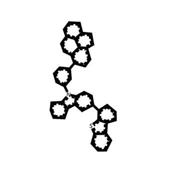 c1cc(-c2ccc3ccc4cccc5ccc2c3c45)cc(-n2c3ccccc3c3cc(-c4cccc5c4sc4ccccc45)ccc32)c1